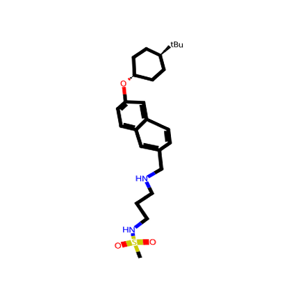 CC(C)(C)[C@H]1CC[C@H](Oc2ccc3cc(CNCCCNS(C)(=O)=O)ccc3c2)CC1